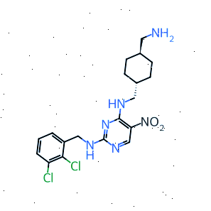 NC[C@H]1CC[C@H](CNc2nc(NCc3cccc(Cl)c3Cl)ncc2[N+](=O)[O-])CC1